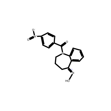 O=C(c1ccc([N+](=O)[O-])cc1)N1CCC/C(=N\O)c2ccccc21